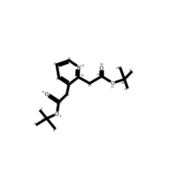 CC(C)(C)OC(=O)Cc1cccnc1CC(=O)OC(C)(C)C